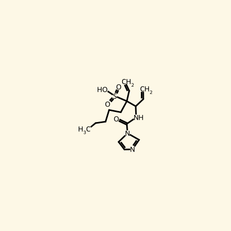 C=CC(NC(=O)n1ccnc1)C(C=C)(CCCCC)S(=O)(=O)O